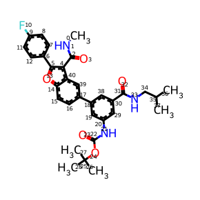 CNC(=O)c1c(-c2ccc(F)cc2)oc2ccc(-c3cc(NC(=O)OC(C)(C)C)cc(C(=O)NCC(C)C)c3)cc12